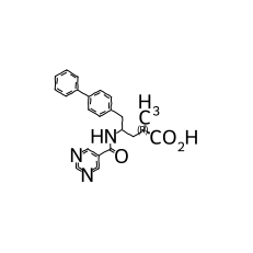 C[C@H](CC(Cc1ccc(-c2ccccc2)cc1)NC(=O)c1cncnc1)C(=O)O